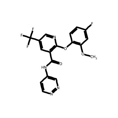 COc1cc(F)ccc1Oc1ncc(C(F)(F)F)cc1C(=O)Nc1ccnnc1